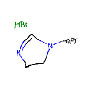 Br.CCCN1C=NCC1